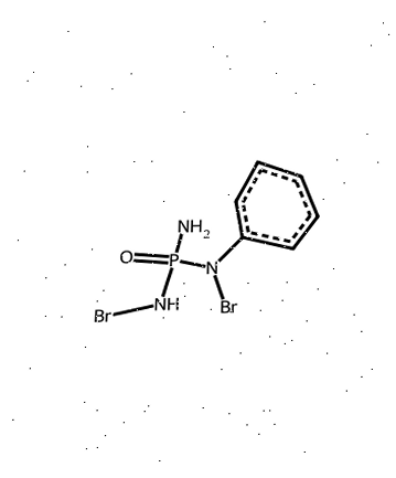 NP(=O)(NBr)N(Br)c1ccccc1